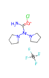 F[B-](F)(F)F.NC(=[O+]Cl)N(N1CCCC1)N1CCCC1